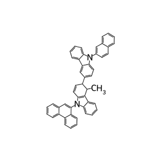 CC1c2c(n(-c3cc4ccccc4c4ccccc34)c3ccccc23)C=CC1c1ccc2c(c1)c1ccccc1n2-c1ccc2ccccc2c1